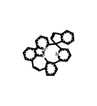 C1=Cc2cccc3c4cccc5[n+]4p(c23)-c2c1cccc2-c1cccc(n1)C51c2ccccc2-c2ccccc21